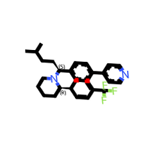 CC(C)CC[C@@H](c1ccc(-c2ccncc2)cc1)N1CCCC[C@@H]1C1C=CC(C(F)(F)F)=CC1